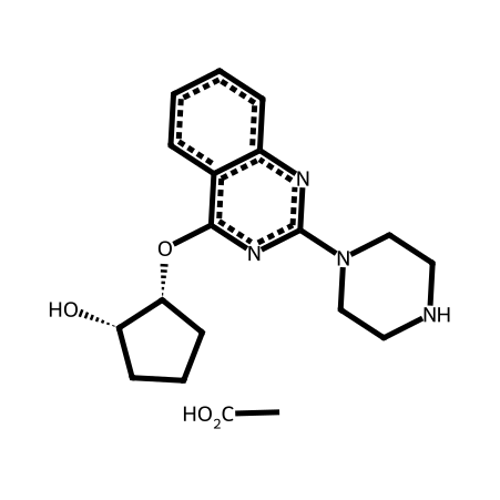 CC(=O)O.O[C@H]1CCC[C@H]1Oc1nc(N2CCNCC2)nc2ccccc12